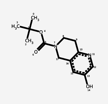 CC(C)(C)OC(=O)N1CCc2ncc(O)cc2C1